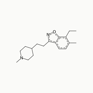 CCc1c(C)ccc2c(CCC3CCN(C)CC3)noc12